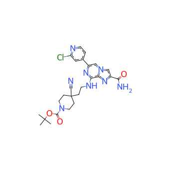 CC(C)(C)OC(=O)N1CCC(C#N)(CCNc2nc(-c3ccnc(Cl)c3)cn3cc(C(N)=O)nc23)CC1